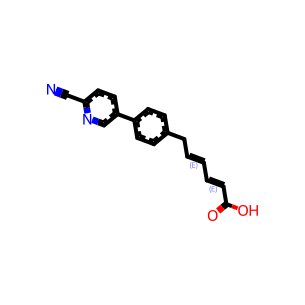 N#Cc1ccc(-c2ccc(C/C=C/C=C/C(=O)O)cc2)cn1